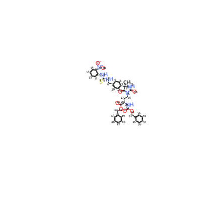 CC1(c2ccc(CNC(=S)Nc3ccccc3[N+](=O)[O-])cc2)NC(=O)N(CCC(NC(=O)OCc2ccccc2)C(=O)OCc2ccccc2)C1=O